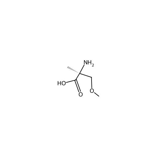 COC[C@](C)(N)C(=O)O